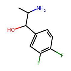 CC(N)C(O)c1ccc(F)c(F)c1